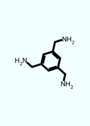 NCc1cc(CN)cc(CN)c1